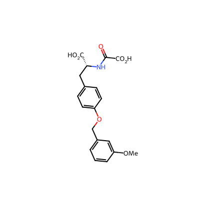 COc1cccc(COc2ccc(C[C@@H](NC(=O)C(=O)O)C(=O)O)cc2)c1